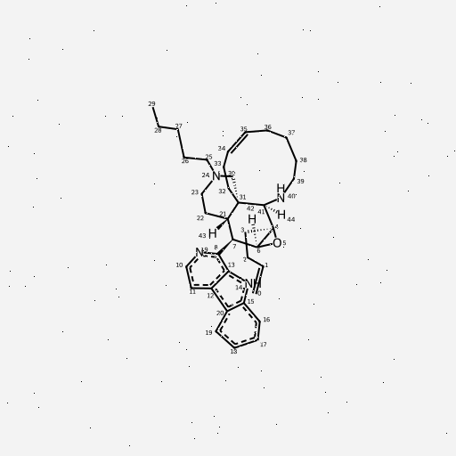 C=CCC[C@]12O[C@H]1[C@@H](c1nccc3c1[nH]c1ccccc13)[C@@H]1CCN(CCCCC)C[C@@]13CC/C=C\CCCCN[C@H]32